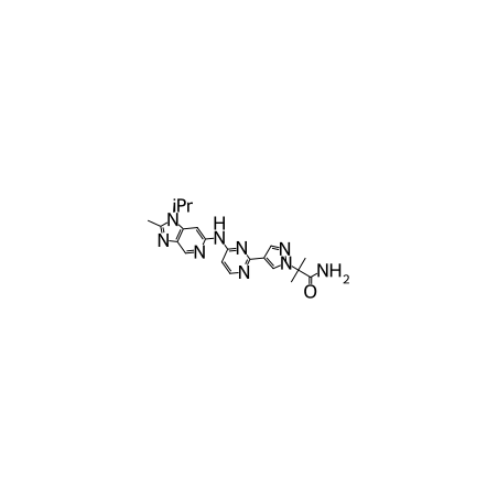 Cc1nc2cnc(Nc3ccnc(-c4cnn(C(C)(C)C(N)=O)c4)n3)cc2n1C(C)C